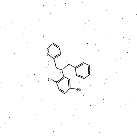 Clc1ccc(Br)cc1N(Cc1ccccc1)Cc1ccccc1